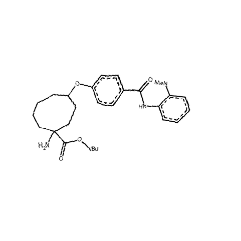 CNc1ccccc1NC(=O)c1ccc(OC2CCCCC(N)(C(=O)OC(C)(C)C)CC2)cc1